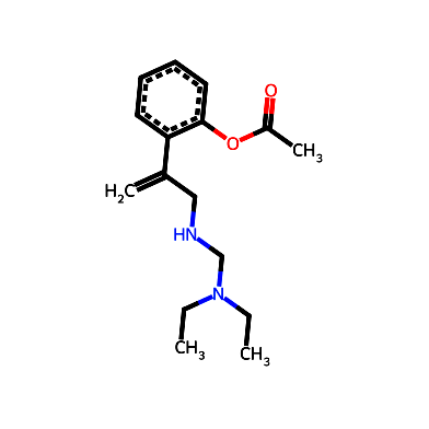 C=C(CNCN(CC)CC)c1ccccc1OC(C)=O